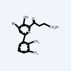 CCOC(=O)CCC(=O)c1nc(-c2cccc(C(F)(F)F)c2C)cc(Br)c1O